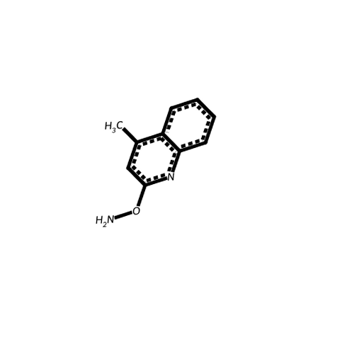 Cc1cc(ON)nc2ccccc12